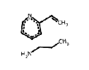 C=Cc1ccccn1.CCCN